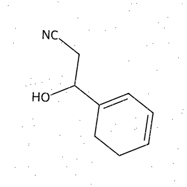 N#CCC(O)C1=CC=CCC1